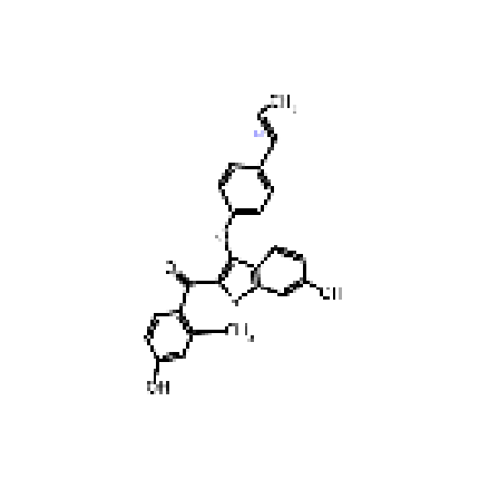 C/C=C/c1ccc(Oc2c(C(=O)c3ccc(O)cc3C)sc3cc(O)ccc23)cc1